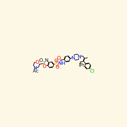 CC(=O)N1CCOC(COc2ccc(S(=O)(=O)NC(=O)c3ccc(N4CCN(CC(C)=C(CC(C)C)c5ccc(Cl)cc5)CC4)cc3)cc2[N+](=O)[O-])C1